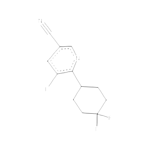 N#Cc1cnc(C2CCC(F)(F)CC2)c(F)c1